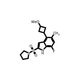 COC1CC(c2c(C)cc(F)c3[nH]c(S(=O)(=O)N4CCCC4)cc23)C1